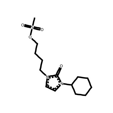 CS(=O)(=O)OCCCCn1ccn(C2CCCCC2)c1=O